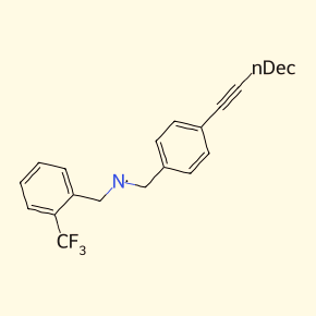 CCCCCCCCCCC#Cc1ccc(C[N]Cc2ccccc2C(F)(F)F)cc1